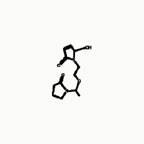 CC(OCCN1C(=O)C=CC1O)N1CCCC1=O